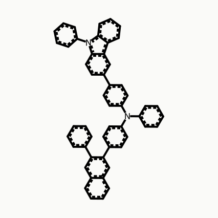 c1ccc(-c2cc3ccccc3cc2-c2ccc(N(c3ccccc3)c3ccc(-c4ccc5c(c4)c4ccccc4n5-c4ccccc4)cc3)cc2)cc1